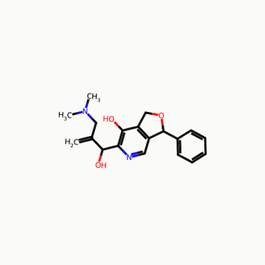 C=C(CN(C)C)C(O)c1ncc2c(c1O)COC2c1ccccc1